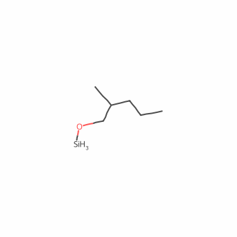 CCCC(C)CO[SiH3]